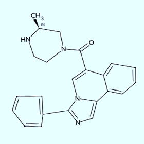 C[C@H]1CN(C(=O)c2cn3c(-c4ccccc4)ncc3c3ccccc23)CCN1